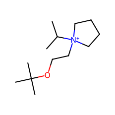 CC(C)[N+]1(CCOC(C)(C)C)CCCC1